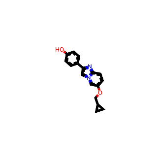 Oc1ccc(-c2cn3cc(OCC4CC4)ccc3n2)cc1